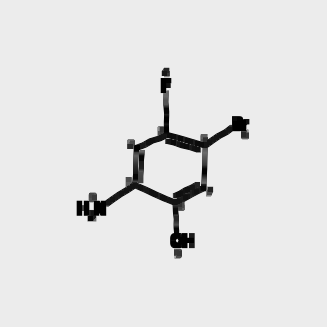 Nc1cc(F)c(Br)cc1O